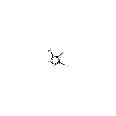 CC(C)c1nnc(C(F)(F)F)n1C